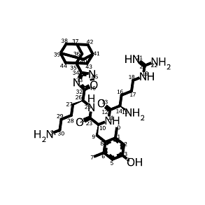 Cc1cc(O)cc(C)c1C[C@H](NC(=O)[C@H](N)CCCNC(=N)N)C(=O)N[C@@H](CCCCN)c1nc(C23CC4CC(CC(C4)C2)C3)no1